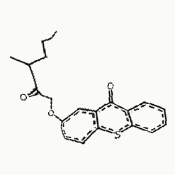 CCCC(C)C(=O)COc1ccc2sc3ccccc3c(=O)c2c1